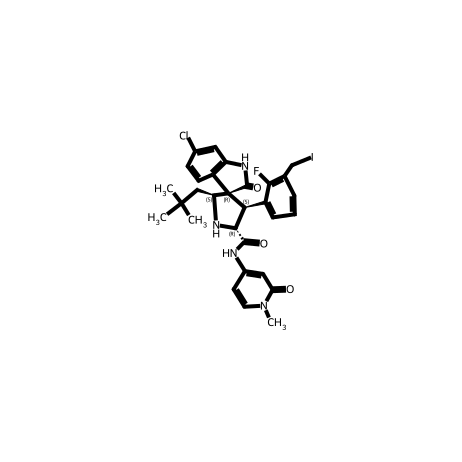 Cn1ccc(NC(=O)[C@@H]2N[C@@H](CC(C)(C)C)[C@@]3(C(=O)Nc4cc(Cl)ccc43)[C@H]2c2cccc(CI)c2F)cc1=O